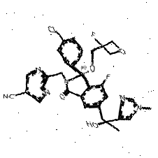 Cn1cnc(C(C)(O)c2cc(F)c3c(c2)C(=O)N(Cc2ncc(C#N)cn2)[C@@]3(OCC2(F)COC2)c2ccc(Cl)cc2)c1